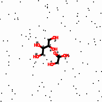 O=C(O)CO.OCC(O)C(O)CO